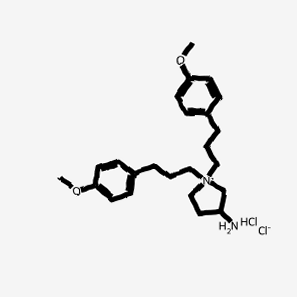 COc1ccc(CCC[N+]2(CCCc3ccc(OC)cc3)CCC(N)C2)cc1.Cl.[Cl-]